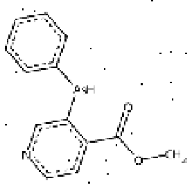 COC(=O)c1ccncc1[AsH]c1ccccc1